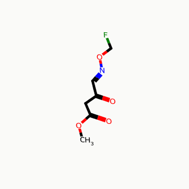 COC(=O)CC(=O)C=NOCF